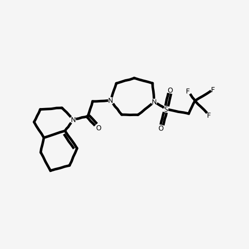 O=C(CN1CCCN(S(=O)(=O)CC(F)(F)F)CC1)N1CCCC2CCCC=C21